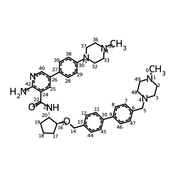 CN1CCN(Cc2ccc(-c3ccc(CO[C@H]4CCC[C@@H]4NC(=O)c4cc(-c5ccc(N6CCN(C)CC6)cc5)cnc4N)cc3)cc2)CC1